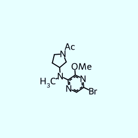 COc1nc(Br)cnc1N(C)C1CCN(C(C)=O)C1